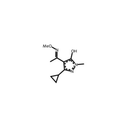 CO/N=C(\C)c1c(C2CC2)nn(C)c1O